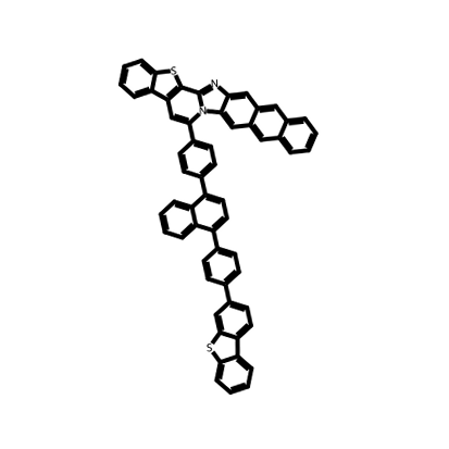 c1ccc2cc3cc4c(cc3cc2c1)nc1c2sc3ccccc3c2cc(-c2ccc(-c3ccc(-c5ccc(-c6ccc7c(c6)sc6ccccc67)cc5)c5ccccc35)cc2)n41